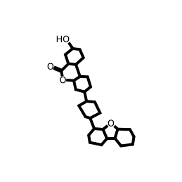 O=C1OC2CC(C3CCC(C4CCCC5C6CCCCC6OC45)CC3)CCC2C2CCC(O)CC12